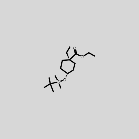 CCOC(=O)[C@]1(CC)CC[C@H](O[Si](C)(C)C(C)(C)C)CC1